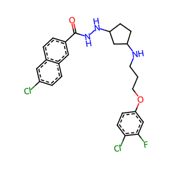 O=C(NNC1CCC(NCCCOc2ccc(Cl)c(F)c2)C1)c1ccc2cc(Cl)ccc2c1